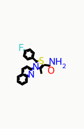 CC1=C(C(N)=O)SC(c2ccc(F)cc2)N1c1ccc2ccccc2n1